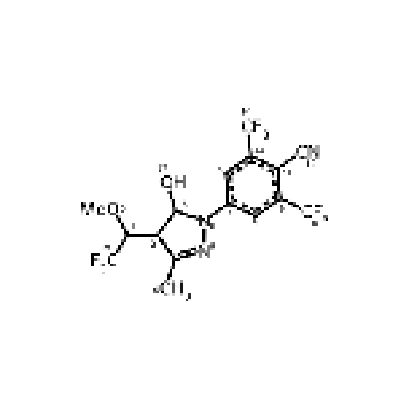 COC(C1C(C)=NN(c2cc(C(F)(F)F)c(C#N)c(C(F)(F)F)c2)C1O)C(F)(F)F